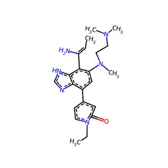 CC=C(N)c1c(N(C)CCN(C)C)cc(-c2ccn(CC)c(=O)c2)c2nc[nH]c12